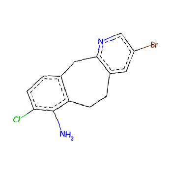 Nc1c(Cl)ccc2c1CCc1cc(Br)cnc1C2